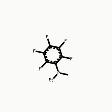 CCP(C)c1c(F)c(F)c(F)c(F)c1F